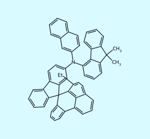 CCc1ccc2cccc3c2c1C1(c2ccccc2-c2ccc(N(c4ccc5ccccc5c4)c4cccc5c4-c4ccccc4C5(C)C)cc21)c1ccccc1-3